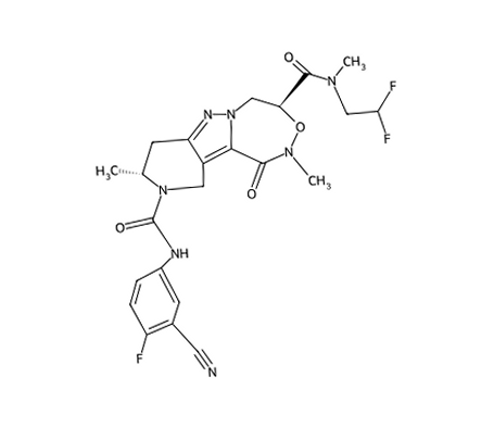 C[C@@H]1Cc2nn3c(c2CN1C(=O)Nc1ccc(F)c(C#N)c1)C(=O)N(C)O[C@H](C(=O)N(C)CC(F)F)C3